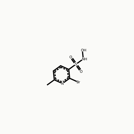 Cc1ccc(S(=O)(=O)NO)c(Br)n1